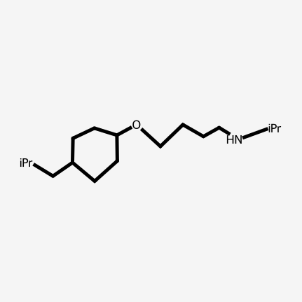 CC(C)CC1CCC(OCCCCNC(C)C)CC1